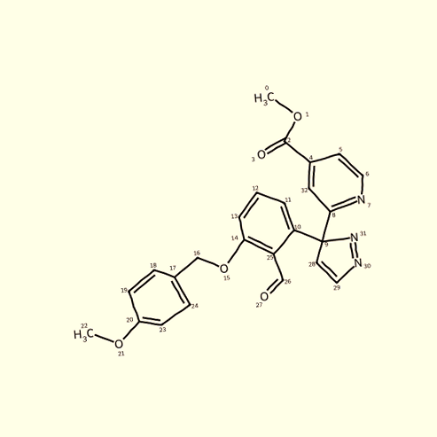 COC(=O)c1ccnc(C2(c3cccc(OCc4ccc(OC)cc4)c3C=O)C=CN=N2)c1